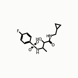 CC(NS(=O)(=O)c1ccc(F)cc1)C(O)C(=O)NCC1CC1